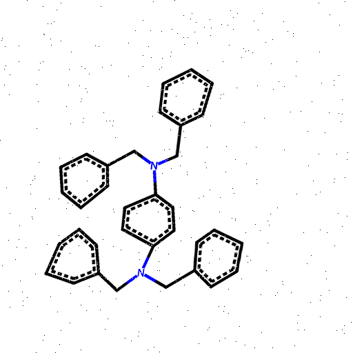 c1ccc(CN(Cc2ccccc2)c2ccc(N(Cc3ccccc3)Cc3ccccc3)cc2)cc1